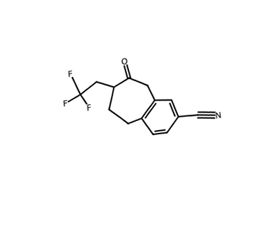 N#Cc1ccc2c(c1)CC(=O)C(CC(F)(F)F)CC2